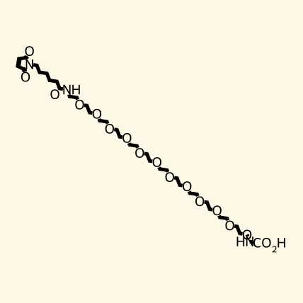 O=C(O)NOCCOCCOCCOCCOCCOCCOCCOCCOCCOCCOCCOCCNC(=O)CCCCCN1C(=O)C=CC1=O